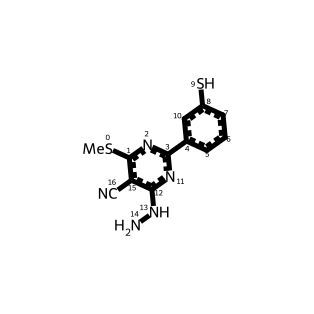 CSc1nc(-c2cccc(S)c2)nc(NN)c1C#N